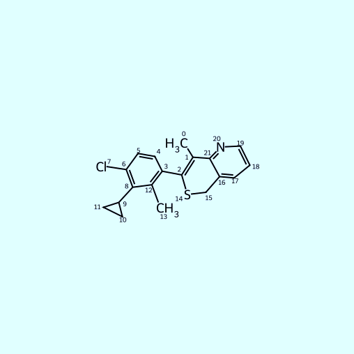 CC1=C(c2ccc(Cl)c(C3CC3)c2C)SCc2cccnc21